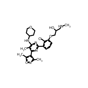 CNCC(O)COc1cccc(-c2nc(NC3CCOCC3)c(C)c(-c3c(C)noc3C)n2)c1Cl